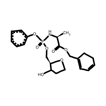 C[C@H](NP(=O)(OC[C@H]1OCCC1O)Oc1ccccc1)C(=O)OCC1=CC=CCC1